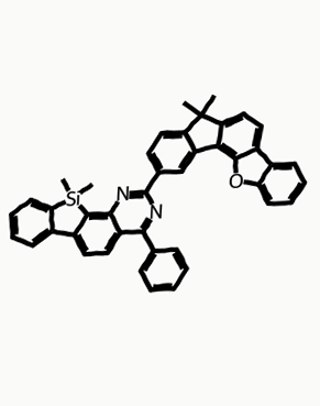 CC1(C)c2ccc(-c3nc(-c4ccccc4)c4ccc5c(c4n3)[Si](C)(C)c3ccccc3-5)cc2-c2c1ccc1c2oc2ccccc21